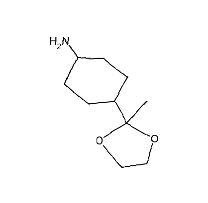 CC1(C2CCC(N)CC2)OCCO1